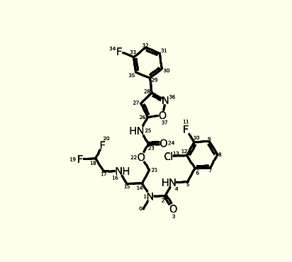 CN(C(=O)NCc1cccc(F)c1Cl)C(CNCC(F)F)COC(=O)Nc1cc(-c2cccc(F)c2)no1